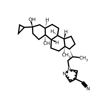 CC(Cn1cc(C#N)cn1)[C@H]1CC[C@H]2[C@@H]3CC[C@@H]4C[C@@](O)(C5CC5)CC[C@]4(C)[C@H]3CC[C@]12C